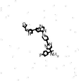 CC(N)(c1ccc(F)cc1)c1cnc(C2=CCN(c3ncnn4cc(-c5cnn(CC6COC6)c5)cc34)CC2)nc1